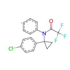 O=C(N(c1cc[c]cc1)C1(c2ccc(Cl)cc2)CC1)C(F)(F)F